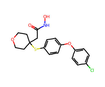 O=C(CC1(Sc2ccc(Oc3ccc(Cl)cc3)cc2)CCOCC1)NO